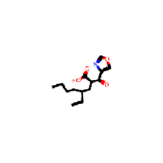 CCCCC(CC)CC(C(=O)O)C(=O)c1cocn1